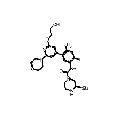 Cc1cc(F)c(NC(=O)N2CCNC(C(C)(C)C)C2)cc1-c1cc(OCCO)nc(N2CCOCC2)c1